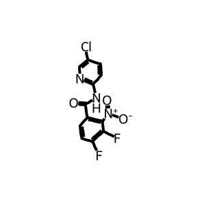 O=C(Nc1ccc(Cl)cn1)c1ccc(F)c(F)c1[N+](=O)[O-]